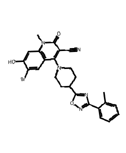 Cc1ccccc1-c1noc(C2CCN(c3c(C#N)c(=O)n(C)c4cc(O)c(Br)cc34)CC2)n1